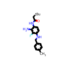 Cc1ccc(CNc2ccc(NC(=O)CC(C)(C)C)c(N)c2F)cc1